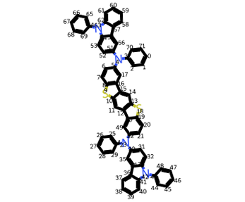 c1ccc(N(c2ccc3sc4cc5c(cc4c3c2)sc2ccc(N(c3ccccc3)c3ccc4c(c3)c3ccccc3n4-c3ccccc3)cc25)c2ccc3c(c2)c2ccccc2n3-c2ccccc2)cc1